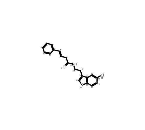 O=C(C/C=C/c1ccccc1)NCCc1csc2ccc(Cl)cc12